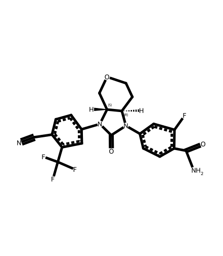 N#Cc1ccc(N2C(=O)N(c3ccc(C(N)=O)c(F)c3)[C@@H]3CCOC[C@H]32)cc1C(F)(F)F